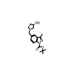 CC(C)(C)OC(=O)n1nc(I)c2cc(CN3CC[C@@H](O)C3)ccc21